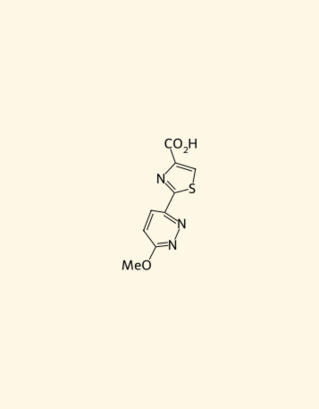 COc1ccc(-c2nc(C(=O)O)cs2)nn1